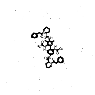 COC(=O)Nc1cc(NC(=O)C2CCCCN2C(=O)Cc2ccccc2)ccc1-c1cc(C)c(NC(=O)[C@H]2CCCCN2C(=O)Cc2ccccc2)c(C)c1NC(=O)OC